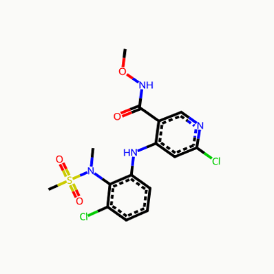 CONC(=O)c1cnc(Cl)cc1Nc1cccc(Cl)c1N(C)S(C)(=O)=O